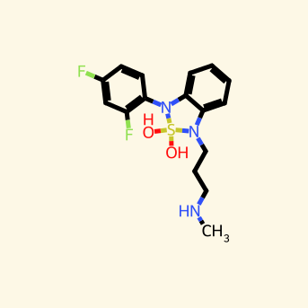 CNCCCN1c2ccccc2N(c2ccc(F)cc2F)S1(O)O